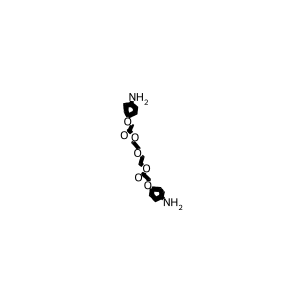 Nc1ccc(OCC(=O)OCCOCCOC(=O)COc2ccc(N)cc2)cc1